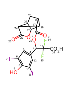 O=C(OC(c1cc(I)c(O)c(I)c1)C(F)(F)C(=O)O)C1C2CC3OC(=O)C1C3C2